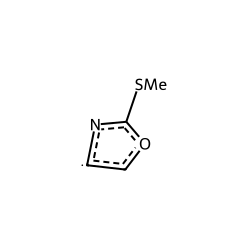 CSc1n[c]co1